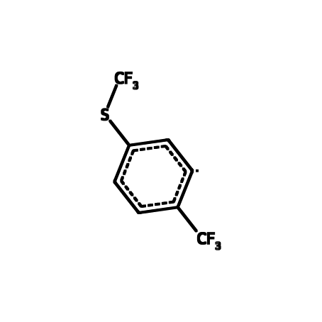 FC(F)(F)Sc1c[c]c(C(F)(F)F)cc1